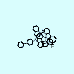 FC1=CC=CC2=C(C1)C1(c3c(F)cccc3-c3cccc(F)c31)c1c2cccc1-c1cc(N(c2ccc(-c3ccccc3)cc2)c2cccc(-c3ccccc3)c2)cc2ccccc12